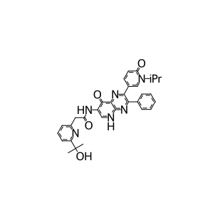 CC(C)n1cc(-c2nc3c(=O)c(NC(=O)Cc4cccc(C(C)(C)O)n4)c[nH]c3nc2-c2ccccc2)ccc1=O